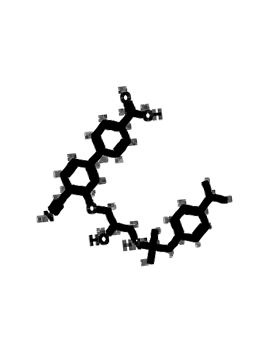 CC(C)c1ccc(CC(C)(C)NCC(O)COc2cc(-c3ccc(C(=O)O)cc3)ccc2C#N)cc1